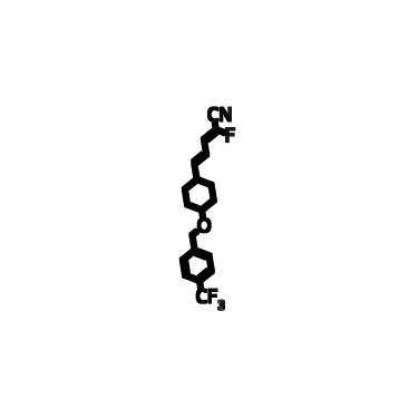 N#CC(F)=CC=CC1CCC(OCc2ccc(C(F)(F)F)cc2)CC1